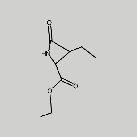 CCOC(=O)C1NC(=O)C1CC